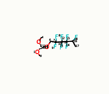 CO[SiH](OC)OCC(F)(F)C(F)(F)C(F)(F)C(C)F